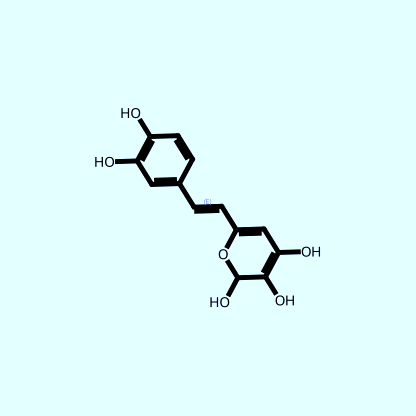 OC1=C(O)C(O)OC(/C=C/c2ccc(O)c(O)c2)=C1